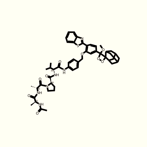 COC1(c2ccc(-c3nc4ccccc4s3)c(OCc3ccc(NC(=O)[C@H](NC(=O)[C@H]4CCCN4C(=O)[C@@H](C)NC(=O)[C@H](C)NC(C)=O)C(C)C)cc3)c2)OOC12C1CC3CC(C1)CC2C3